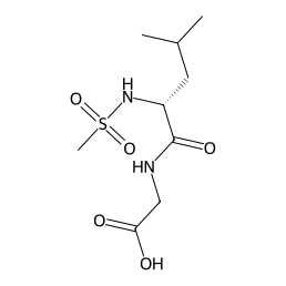 CC(C)C[C@@H](NS(C)(=O)=O)C(=O)NCC(=O)O